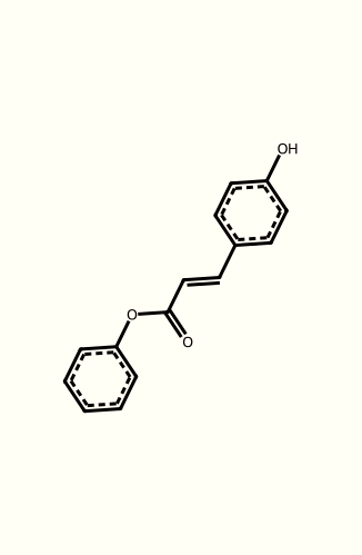 O=C(C=Cc1ccc(O)cc1)Oc1ccccc1